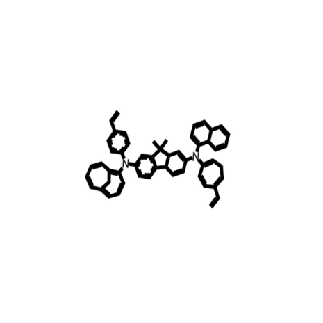 C=CC1=CCC=C(N(C2=CC3C(C=C2)c2ccc(N(C4=C5C=CC=CC(=CC=C4)C5)c4ccc(C=C)cc4)cc2C3(C)C)C2=CC=CC3C=CC=CC23)C=C1